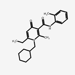 CCc1cc(=O)c(C(=O)Nc2ccccc2C)c(C)n1CC1CCCCC1